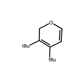 CC(C)(C)C1=C(C(C)(C)C)COC=C1